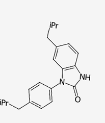 CC(C)Cc1ccc(-n2c(=O)[nH]c3ccc(CC(C)C)cc32)cc1